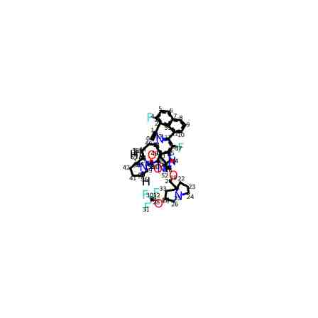 C#Cc1c(F)ccc2cccc(-c3nc4c5c(nc(OCC67CCCN6C[C@@H](OC(F)(F)F)C7)nc5c3F)N3C[C@H]5CC[C@@H]([C@H]3CC4)N5C(=O)OC(C)(C)C)c12